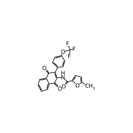 Cc1ccc(C(=O)NC2=C(c3ccc(OC(F)(F)F)cc3)C(=O)c3ccccc3C2=O)o1